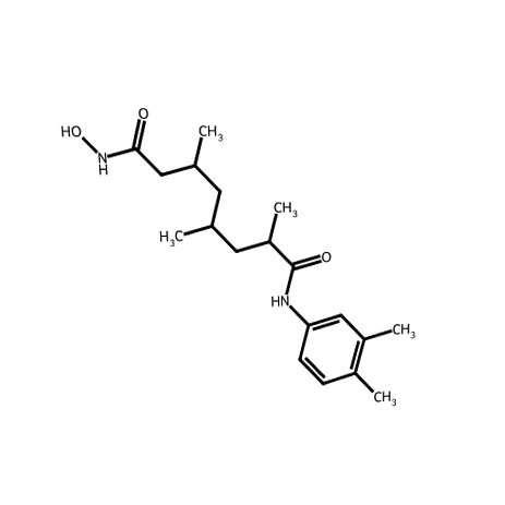 Cc1ccc(NC(=O)C(C)CC(C)CC(C)CC(=O)NO)cc1C